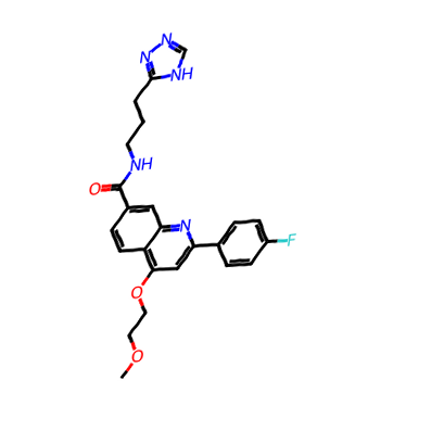 COCCOc1cc(-c2ccc(F)cc2)nc2cc(C(=O)NCCCc3nnc[nH]3)ccc12